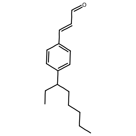 CCCCCC(CC)c1ccc(C=CC=O)cc1